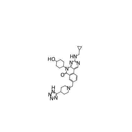 O=c1c2cc(CN3CCC(c4nnn[nH]4)CC3)ccc2c2cnc(NCC3CC3)nc2n1C1CCC(O)CC1